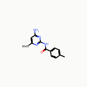 CNc1cc(N)nc(NC(=O)c2ccc(C)cc2)n1